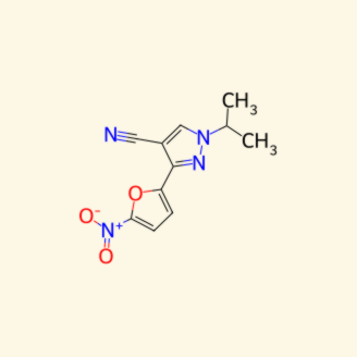 CC(C)n1cc(C#N)c(-c2ccc([N+](=O)[O-])o2)n1